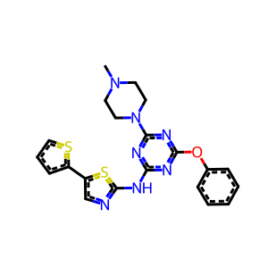 CN1CCN(c2nc(Nc3ncc(-c4cccs4)s3)nc(Oc3ccccc3)n2)CC1